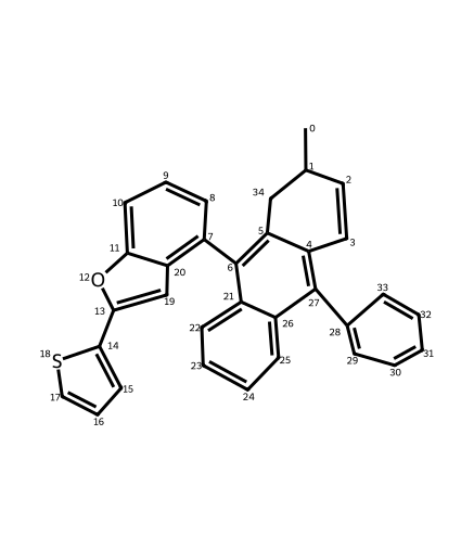 CC1C=Cc2c(c(-c3cccc4oc(-c5cccs5)cc34)c3ccccc3c2-c2ccccc2)C1